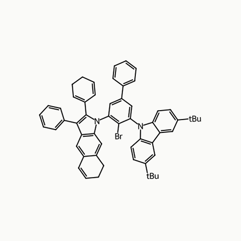 CC(C)(C)c1ccc2c(c1)c1cc(C(C)(C)C)ccc1n2-c1cc(-c2ccccc2)cc(-n2c(C3=CCCC=C3)c(-c3ccccc3)c3cc4c(cc32)CCC=C4)c1Br